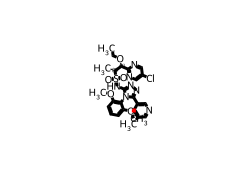 CCO[C@H](c1ncc(Cl)cn1)[C@@H](C)S(=O)(=O)Nc1nnc(-c2cncc(C)c2)n1-c1c(OC)cccc1OC